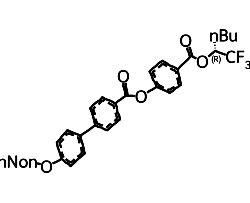 CCCCCCCCCOc1ccc(-c2ccc(C(=O)Oc3ccc(C(=O)O[C@H](CCCC)C(F)(F)F)cc3)cc2)cc1